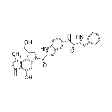 Cc1c[nH]c2c(O)cc3c(c12)C(CO)CN3C(=O)c1cc2cc(NC(=O)c3cc4ccccc4[nH]3)ccc2[nH]1